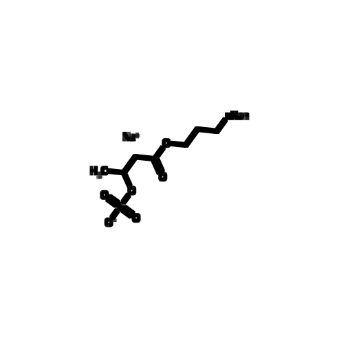 CCCCCCCCCCCCOC(=O)CC(C)OS(=O)(=O)[O-].[Na+]